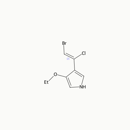 CCOc1c[nH]cc1/C(Cl)=C/Br